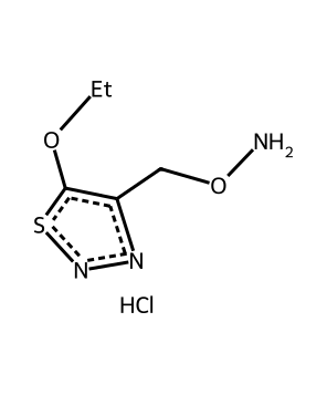 CCOc1snnc1CON.Cl